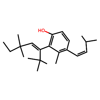 CCC(C)(C)/C=C(/c1c(O)ccc(/C=C\C(C)C)c1C)C(C)(C)C